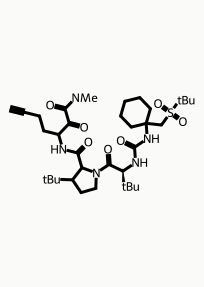 C#CCCC(NC(=O)C1C(C(C)(C)C)CCN1C(=O)[C@@H](NC(=O)NC1(CS(=O)(=O)C(C)(C)C)CCCCC1)C(C)(C)C)C(=O)C(=O)NC